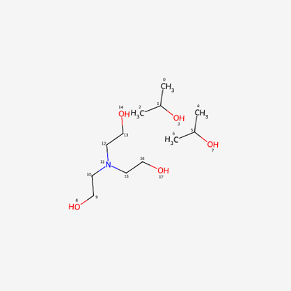 CC(C)O.CC(C)O.OCCN(CCO)CCO